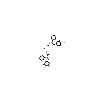 CC(C)(C)c1cc(/C=C(/C(=O)CO[PH](=O)OCC(=O)/C(=C/c2cc(C(C)(C)C)c(O)c(C(C)(C)C)c2)c2ccccc2)c2ccccc2)cc(C(C)(C)C)c1O